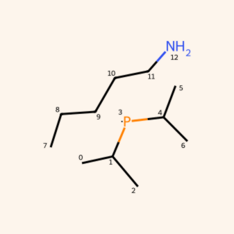 CC(C)[P]C(C)C.CCCCCN